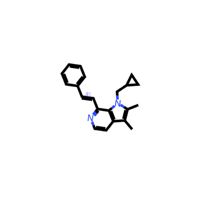 Cc1c(C)n(CC2CC2)c2c(/C=C/c3ccccc3)nccc12